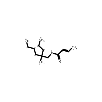 C/C=C/C(=O)OCC(C)(CCC)CCCC